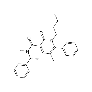 CCCCn1c(-c2ccccc2)c(C)cc(C(=O)N(C)[C@H](C)c2ccccc2)c1=O